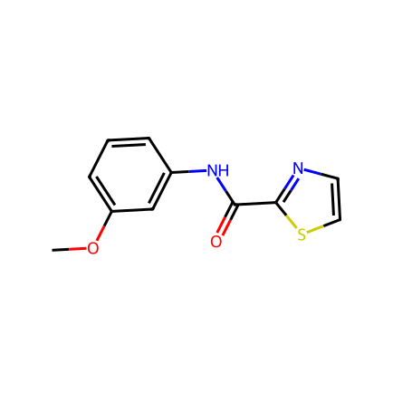 COc1cccc(NC(=O)c2nccs2)c1